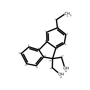 CCc1ccc2c(c1)-c1ccccc1C2(CO)CO